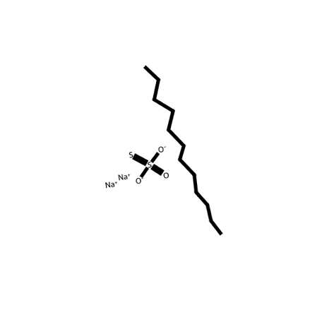 CCCCCCCCCCCC.O=S([O-])([O-])=S.[Na+].[Na+]